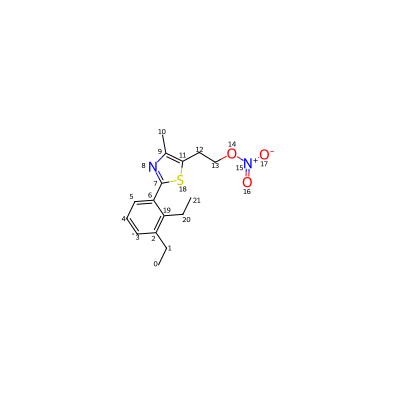 CCc1[c]ccc(-c2nc(C)c(CCO[N+](=O)[O-])s2)c1CC